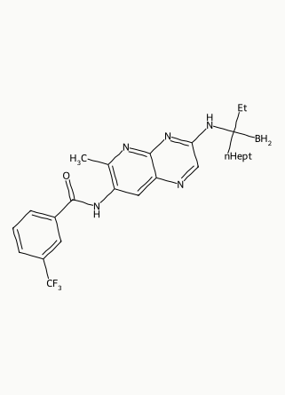 BC(CC)(CCCCCCC)Nc1cnc2cc(NC(=O)c3cccc(C(F)(F)F)c3)c(C)nc2n1